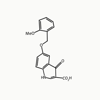 COc1ccccc1COc1ccc2[nH]cc(C(=O)O)c(=O)c2c1